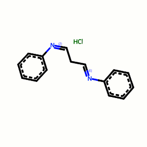 C(/C/C=N/c1ccccc1)=N/c1ccccc1.Cl